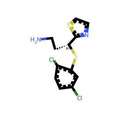 NCC[C@@H](Sc1cc(Cl)ccc1Cl)c1nccs1